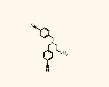 N#Cc1ccc(CN(CCN)Cc2ccc(C#N)cc2)cc1